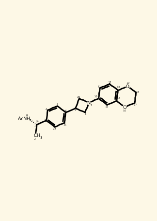 CC(=O)N[C@@H](C)c1ccc(C2CN(c3ccc4c(c3)OCCO4)C2)cc1